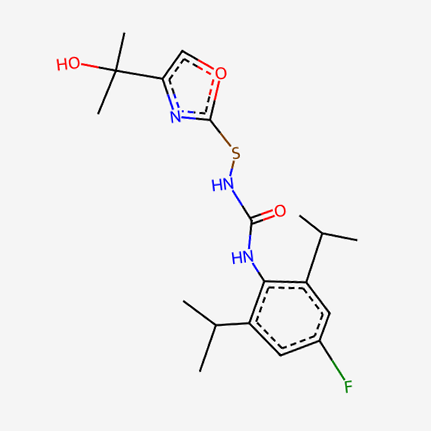 CC(C)c1cc(F)cc(C(C)C)c1NC(=O)NSc1nc(C(C)(C)O)co1